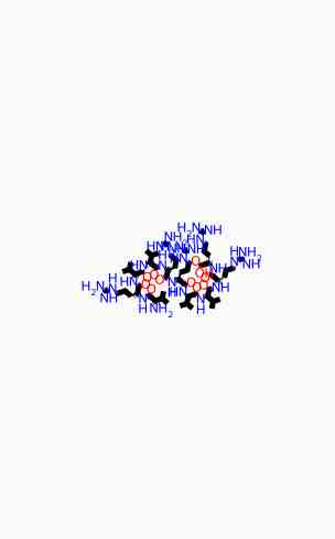 CC(C)[C@H](N)C(=O)N[C@@H](CCCNC(=N)N)C(=O)N[C@H](C(=O)N[C@H](C(=O)N[C@@H](CCCNC(=N)N)C(=O)N[C@@H](CCCNC(=N)N)C(=O)N[C@H](C(=O)N[C@H](C(=O)N[C@@H](CCCNC(=N)N)C(=O)N[C@@H](CCCNC(=N)N)C(=O)O)C(C)C)C(C)C)C(C)C)C(C)C